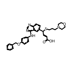 O=C(O)C=CC(SCCCN1CCOCC1)c1ccc2ncnc(Nc3ccc(OCc4ccccc4)cc3)c2c1